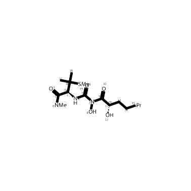 CNC(=O)[C@H](NC(=O)N(O)C(=O)[C@@H](O)CCC(C)C)C(C)(C)SC